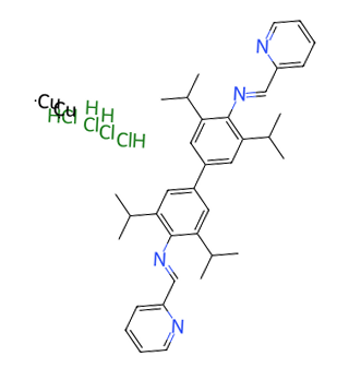 CC(C)c1cc(-c2cc(C(C)C)c(N=Cc3ccccn3)c(C(C)C)c2)cc(C(C)C)c1N=Cc1ccccn1.Cl.Cl.Cl.Cl.[Cu].[Cu]